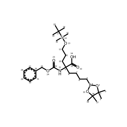 CC1(C)OB(CCCCC(CCCO[Si](C)(C)C(C)(C)C)(NC(=O)OCc2ccccc2)C(=O)O)OC1(C)C